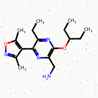 CCc1nc(OC(CC)CC)c(CN)nc1-c1c(C)noc1C